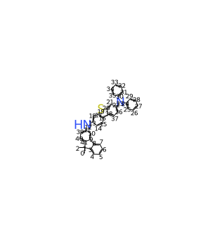 CC1(C)c2ccccc2-c2cc(Nc3ccc4c(c3)sc3cc(N(c5ccccc5)c5ccccc5)ccc34)ccc21